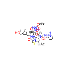 C=C/C(=C\C=C\O)C[C@@H](C[C@H](C)C(=O)NNC(=O)OCCC)NC(=O)c1csc([C@@H](C[C@H](C(C)C)N(COC(=O)CCC)C(=O)[C@@H](NC(=O)[C@H]2CCCCN2)C(C)CC)OC(C)=O)n1